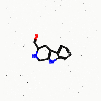 O=[C]C1Cc2c([nH]c3ccccc23)CN1